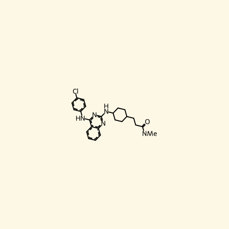 CNC(=O)CCC1CCC(Nc2nc(Nc3ccc(Cl)cc3)c3ccccc3n2)CC1